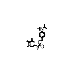 C=C(C(C)C)N(C)CCN(C)C(=O)OCc1ccc(NC(C)C)cc1